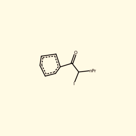 CCCC(I)C(=O)c1ccccc1